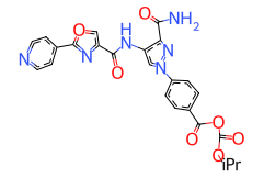 CC(C)OC(=O)OC(=O)c1ccc(-n2cc(NC(=O)c3coc(-c4ccncc4)n3)c(C(N)=O)n2)cc1